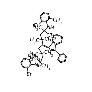 CCc1cccc(C)c1NC(C)(C)CC(C)(C)C/C(=C1\C=C(c2ccccc2)c2ccccc21)C(C)(C)CC(C)(C)Nc1c(C)cccc1CC